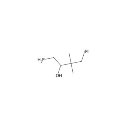 CC(C)CC(C)(C)C(O)CP